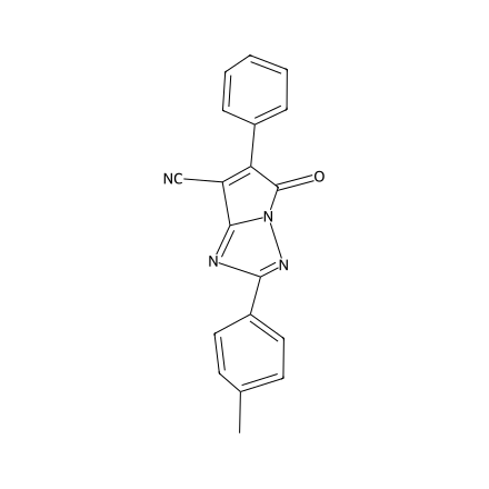 Cc1ccc(-c2nc3n(n2)C(=O)C(c2ccccc2)=C3C#N)cc1